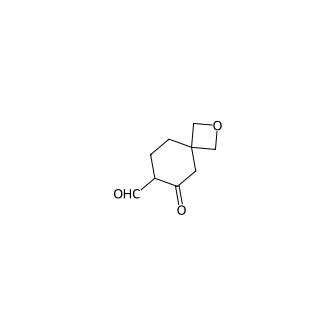 O=CC1CCC2(COC2)CC1=O